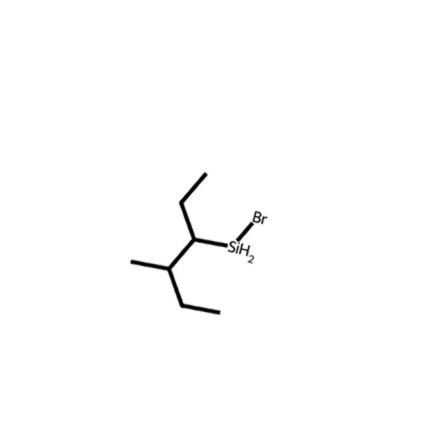 CCC(C)C(CC)[SiH2]Br